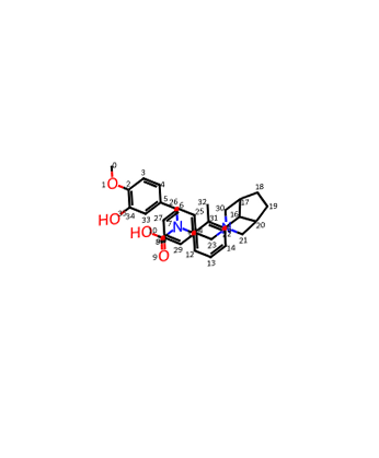 COc1ccc(CN(C(=O)O)c2cccc(C3C4CCC3CN(Cc3ccccc3)C4)c2C)cc1O